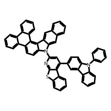 c1ccc(-n2c3ccccc3c3cc(-c4cc(-n5c6cc7ccccc7cc6c6c7c8ccccc8c8ccccc8c7ccc65)nc5sc6ccccc6c45)ccc32)cc1